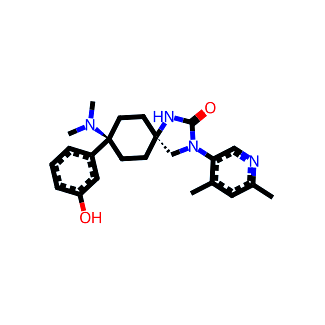 Cc1cc(C)c(N2C[C@]3(CC[C@](c4cccc(O)c4)(N(C)C)CC3)NC2=O)cn1